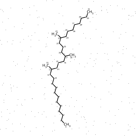 CCCCCCCCCCCCC(C)CCCC(C)CCCC(C)CCCCCCCC